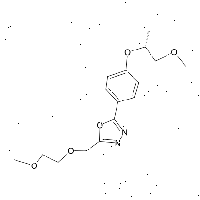 COCCOCc1nnc(-c2ccc(O[C@H](C)COC)cc2)o1